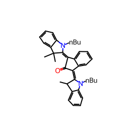 CCCCN1/C(=C2/C(=O)/C(=C3/N(CCCC)c4ccccc4C3(C)C)c3ccccc32)C(C)c2ccccc21